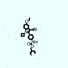 C=C/C(=C\C)COC(=O)Nc1ccc(-c2c(C#N)c3cc(OCC)ccc3n2C2CCC2)cc1